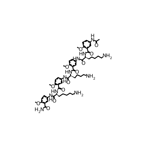 COc1ccc(NC(=O)[C@H](CCCCCN)NC(=O)c2cc(NC(=O)[C@H](CCCCN)NC(=O)c3cc(NC(=O)[C@H](CCCCCN)NC(=O)c4cc(NC(C)=O)ccc4OC)ccc3OC)ccc2OC)cc1C(N)=O